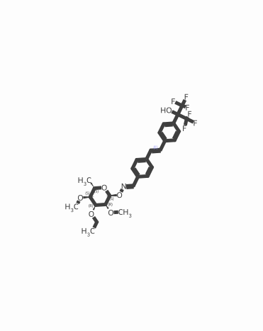 CCO[C@@H]1[C@@H](OC)[C@H](C)O[C@@H](ON=Cc2ccc(/C=C/c3ccc(C(O)(C(F)(F)F)C(F)(F)F)cc3)cc2)[C@@H]1OC